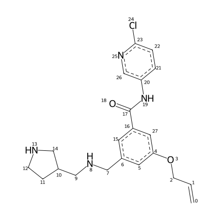 C=CCOc1cc(CNCC2CCNC2)cc(C(=O)Nc2ccc(Cl)nc2)c1